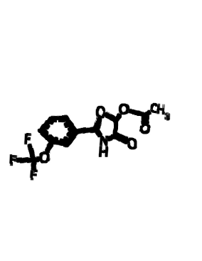 CC(=O)OC1OC(c2cccc(OC(F)(F)F)c2)NC1=O